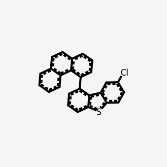 Clc1ccc2sc3cccc(-c4cccc5ccc6ccccc6c45)c3c2c1